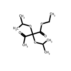 CCOC(=O)C(OC(C)C)(OC(C)C)C(C)=O